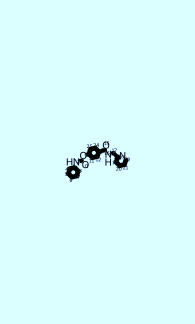 O=C(Nc1ccccc1)Oc1ccc(C(=O)NCc2ccccn2)cc1